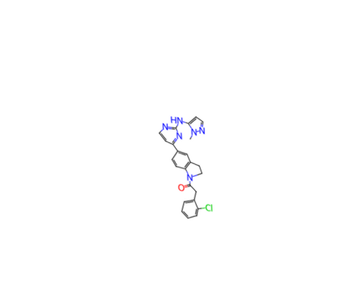 Cn1nccc1Nc1nccc(-c2ccc3c(c2)CCN3C(=O)Cc2ccccc2Cl)n1